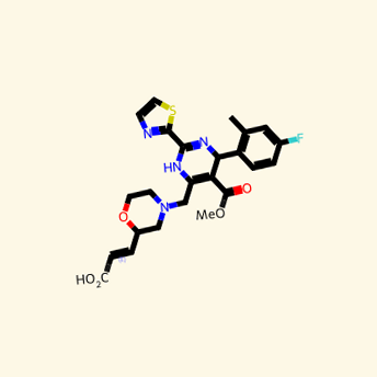 COC(=O)C1=C(CN2CCOC(/C=C/C(=O)O)C2)NC(c2nccs2)=NC1c1ccc(F)cc1C